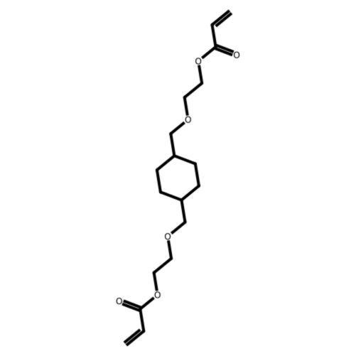 C=CC(=O)OCCOCC1CCC(COCCOC(=O)C=C)CC1